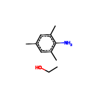 CCO.Cc1cc(C)c(N)c(C)c1